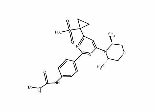 CCNC(=O)Nc1ccc(-c2nc(N3[C@@H](C)COC[C@@H]3C)cc(C3(S(C)(=O)=O)CC3)n2)cc1